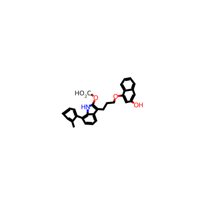 Cc1ccccc1-c1cccc2c(CCCOc3cc(O)cc4ccccc34)c(OC(=O)O)[nH]c12